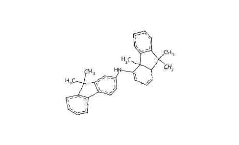 CC1(C)c2ccccc2-c2ccc(NC3=CC=CC4C(C)(C)c5ccccc5C34C)cc21